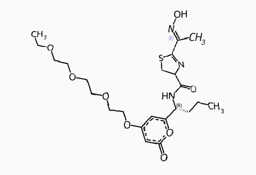 CCC[C@@H](NC(=O)C1CSC(/C(C)=N/O)=N1)c1cc(OCCOCCOCCOCC)cc(=O)o1